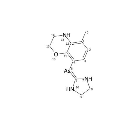 Cc1ccc([As]=C2NCCN2)c2c1NCCO2